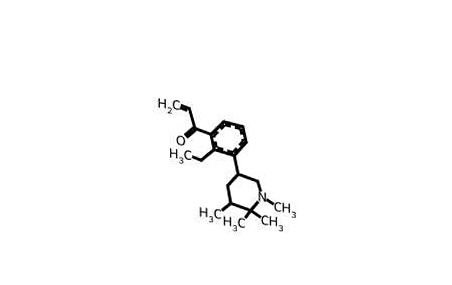 C=CC(=O)c1cccc(C2CC(C)C(C)(C)N(C)C2)c1CC